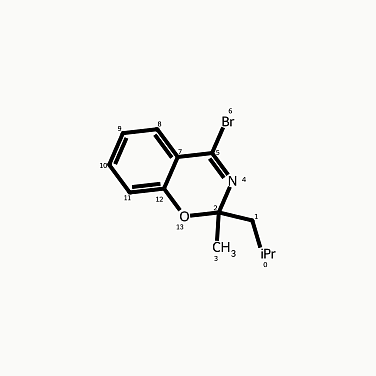 CC(C)CC1(C)N=C(Br)c2ccccc2O1